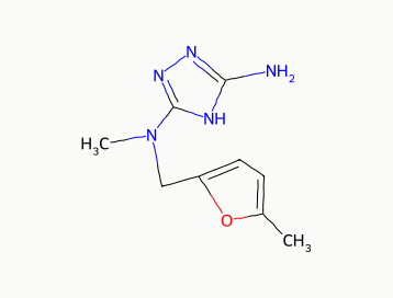 Cc1ccc(CN(C)c2nnc(N)[nH]2)o1